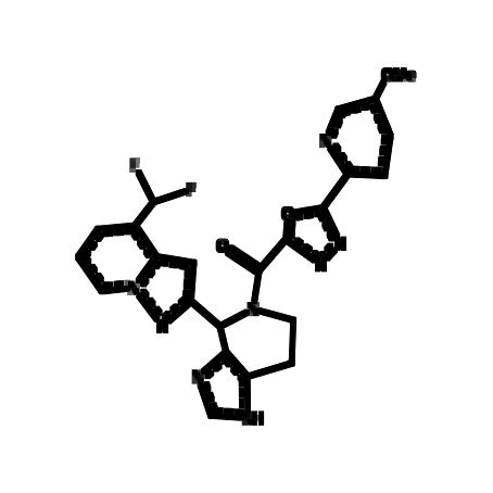 COc1ccc(-c2nnc(C(=O)N3CCc4[nH]cnc4C3c3cc4c(C(F)F)cccn4n3)o2)nc1